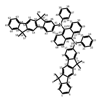 CC1(C)c2ccccc2-c2cc3c(cc21)-c1ccc(N(c2ccccc2)c2c4ccccc4c(N(c4ccccc4)c4ccc5c(c4)C(C)(C)c4cc6c(cc4-5)C(C)(C)c4ccccc4-6)c4ccccc24)cc1C3(C)C